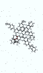 CC(C)(C)c1ccc(-c2cc(-c3ccc(C(C)(C)C)cc3)cc(N3c4ccc(C(C)(C)C)cc4B4c5cc6c(cc5N(c5ccc7c(c5)OCCO7)c5cc(N(c7ccc8c(c7)C(C)(C)c7ccccc7-8)c7ccc8cc(-c9cc%10ccccc%10o9)ccc8c7)cc3c54)OCCO6)c2)cc1